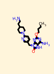 CCCCOc1nc(N)c2[nH]c(=O)n(Cc3ccc(N4CCC(CCN)CC4)nc3)c2n1